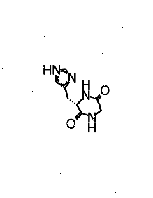 O=C1CNC(=O)[C@H](Cc2c[nH]cn2)N1